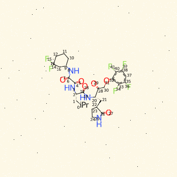 CC(C)C[C@H](NC(=O)C(=O)NC1CCCC(F)(F)C1)C(=O)N[C@@H](C[C@@H]1CCNC1=O)C(=O)COc1c(F)c(F)cc(F)c1F